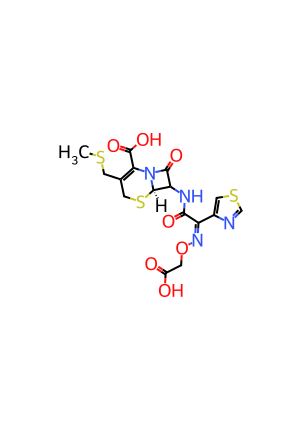 CSCC1=C(C(=O)O)N2C(=O)C(NC(=O)/C(=N\OCC(=O)O)c3cscn3)[C@H]2SC1